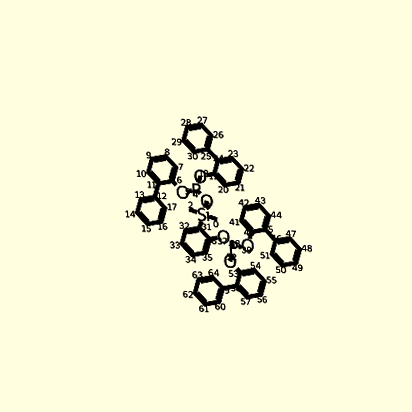 C[Si](C)(OP(Oc1ccccc1-c1ccccc1)Oc1ccccc1-c1ccccc1)c1ccccc1OP(Oc1ccccc1-c1ccccc1)Oc1ccccc1-c1ccccc1